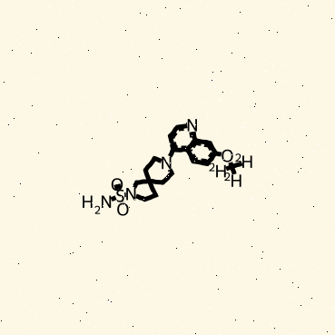 [2H]C([2H])([2H])Oc1ccc2c(N3CCC4(CC3)CCN(S(N)(=O)=O)C4)ccnc2c1